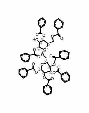 O=C(OC[C@H]1O[C@@H](OC[C@H]2O[C@@H](OC(=O)c3ccccc3)[C@H](OC(=O)c3ccccc3)[C@@H](OC(=O)c3ccccc3)[C@@H]2OC(=O)c2ccccc2)[C@H](OC(=O)c2ccccc2)[C@@H](O)[C@@H]1OC(=O)c1ccccc1)c1ccccc1